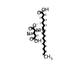 CCCCCCCCCCCCCCCCCC(=O)O.N[C@@H](CCC(=O)O)C(=O)[O-].[Na+]